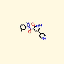 Cc1cccc(NC(=O)c2cc(-c3ccncc3)c[nH]c2=O)c1